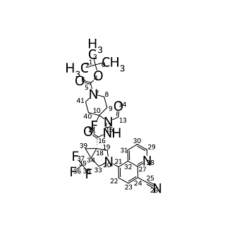 CC(C)(C)OC(=O)N1CCC(F)(N(C=O)NC(=O)[C@]23CN(c4ccc(C#N)c5ncccc45)C[C@@]2(C(F)(F)F)C3)CC1